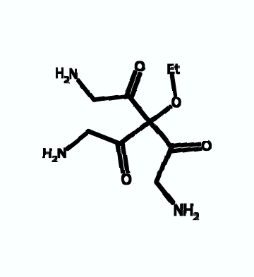 CCOC(C(=O)CN)(C(=O)CN)C(=O)CN